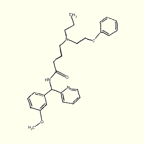 CCCN(CCCC(=O)NC(c1cccc(OC)c1)c1ccccn1)CCOc1ccccc1